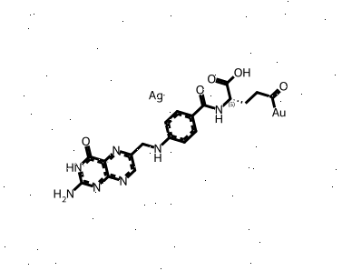 Nc1nc2ncc(CNc3ccc(C(=O)N[C@@H](CC[C](=O)[Au])C(=O)O)cc3)nc2c(=O)[nH]1.[Ag]